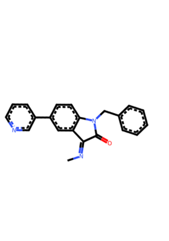 C/N=C1/C(=O)N(Cc2ccccc2)c2ccc(-c3cccnc3)cc21